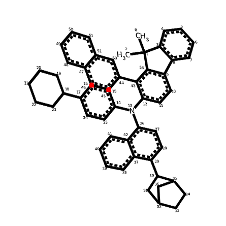 CC1(C)c2ccccc2-c2ccc(N(c3ccc(C4CCCCC4)cc3)c3ccc(C4CC5CCC4C5)c4ccccc34)c(-c3ccc4ccccc4c3)c21